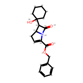 O=C(OCc1ccccc1)C1=CCC2C(C3(O)CCCCC3)C(=O)N12